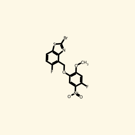 COc1cc(F)c([N+](=O)[O-])cc1OCc1c(F)ccc2sc(Br)nc12